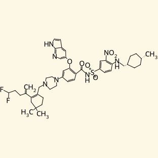 C=C(CCC(F)F)C1=C(CN2CCN(c3ccc(C(=O)NS(=O)(=O)c4ccc(NC[C@H]5CC[C@@H](C)CC5)c([N+](=O)[O-])c4)c(Oc4cnc5[nH]ccc5c4)c3)CC2)CCC(C)(C)C1